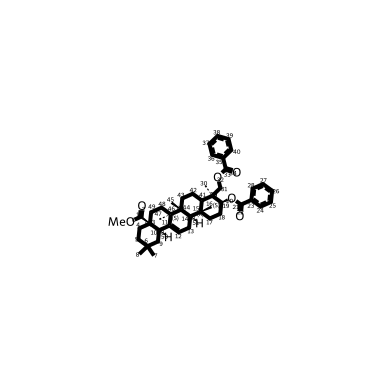 COC(=O)[C@]12CCC(C)(C)C[C@@H]1C1=CC[C@@H]3[C@@]4(C)CC[C@H](OC(=O)c5ccccc5)[C@](C)(COC(=O)c5ccccc5)C4CC[C@@]3(C)[C@]1(C)CC2